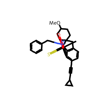 COC1CCC2(CC1)Cc1ccc(C#CC3CC3)cc1C21NC(=S)N(Cc2ccccc2)C1=O